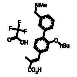 CCCCOc1cc(C=C(C)C(=O)O)ccc1-c1cccc(CNC)c1.O=C(O)C(F)(F)F